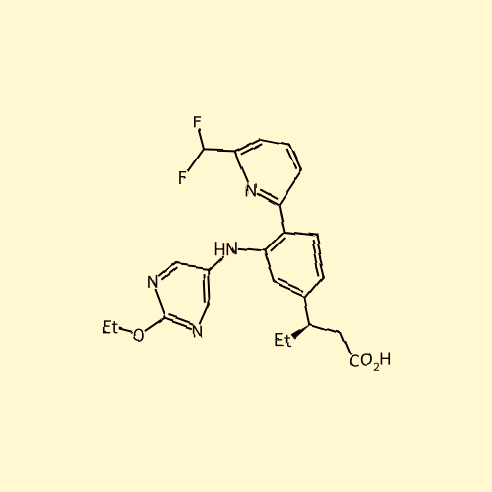 CCOc1ncc(Nc2cc([C@H](CC)CC(=O)O)ccc2-c2cccc(C(F)F)n2)cn1